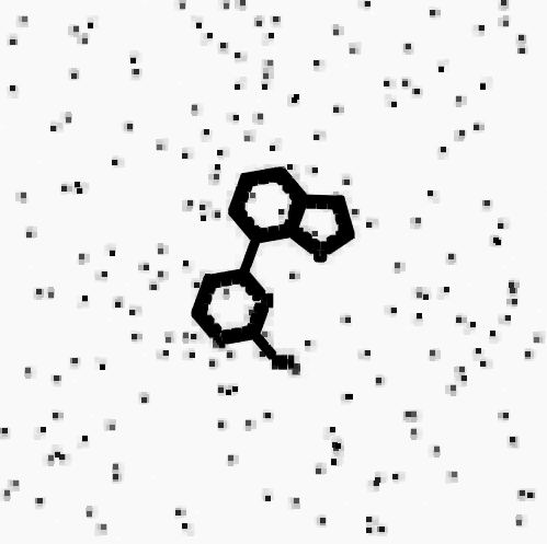 Nc1nccc(-c2cccc3ccoc23)n1